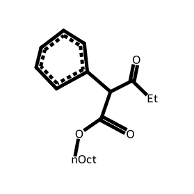 CCCCCCCCOC(=O)C(C(=O)CC)c1ccccc1